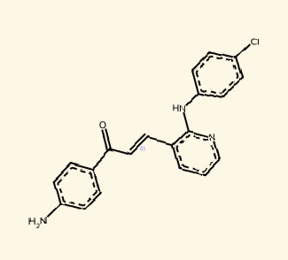 Nc1ccc(C(=O)/C=C/c2cccnc2Nc2ccc(Cl)cc2)cc1